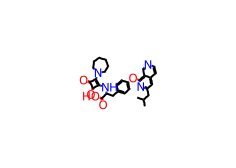 CC(C)Cc1cc2ccncc2c(Oc2ccc(CC(Nc3c(N4CCCCCC4)c(=O)c3=O)C(=O)O)cc2)n1